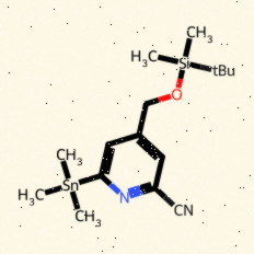 CC(C)(C)[Si](C)(C)OCc1cc(C#N)n[c]([Sn]([CH3])([CH3])[CH3])c1